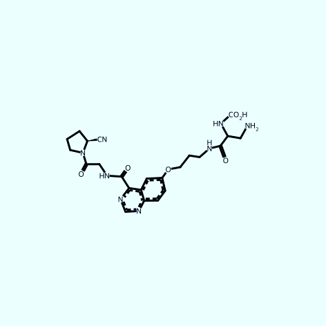 N#C[C@@H]1CCCN1C(=O)CNC(=O)c1ncnc2ccc(OCCCNC(=O)C(CN)NC(=O)O)cc12